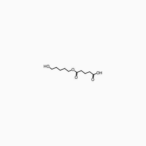 O=C(O)CCCC(=O)OCCCCCO